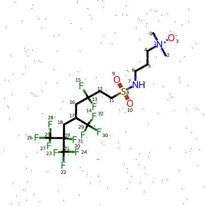 C[N+](C)([O-])CCCNS(=O)(=O)CCC(F)(F)CC(CC(F)(C(F)(F)F)C(F)(F)F)C(F)(F)F